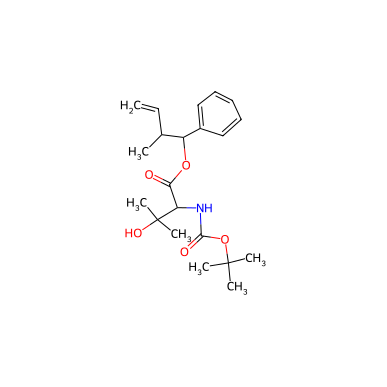 C=CC(C)C(OC(=O)C(NC(=O)OC(C)(C)C)C(C)(C)O)c1ccccc1